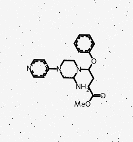 COC(=O)CCC(Oc1ccccc1)N1CCN(c2ccncc2)CC1N